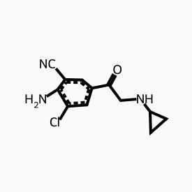 N#Cc1cc(C(=O)CNC2CC2)cc(Cl)c1N